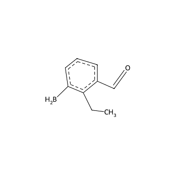 Bc1cccc(C=O)c1CC